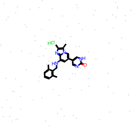 Cc1cccc(C)c1CNc1cc(-c2cnc(=O)[nH]c2)cn2c(C)c(C)nc12.Cl